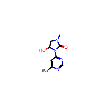 CN1CC(O)N(c2cc(C(C)(C)C)ncn2)C1=O